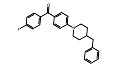 O=C(c1ccc(F)cc1)c1ccc(N2CCC(Cc3ccccc3)CC2)cc1